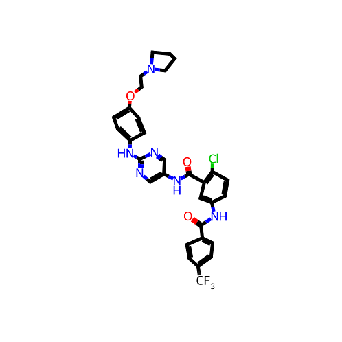 O=C(Nc1ccc(Cl)c(C(=O)Nc2cnc(Nc3ccc(OCCN4CCCC4)cc3)nc2)c1)c1ccc(C(F)(F)F)cc1